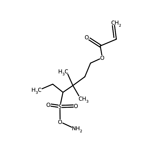 C=CC(=O)OCCC(C)(C)C(CC)S(=O)(=O)ON